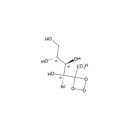 CC(=O)[C@](O)([C@H](O)[C@H](O)CO)C1(C(=O)O)OOO1